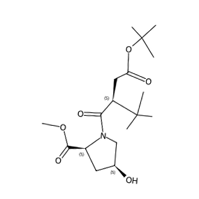 COC(=O)[C@@H]1C[C@H](O)CN1C(=O)[C@@H](CC(=O)OC(C)(C)C)C(C)(C)C